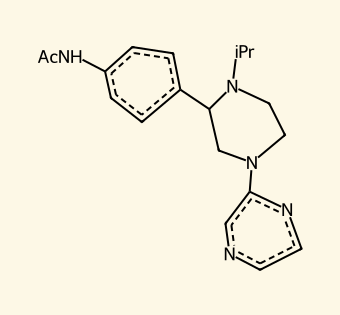 CC(=O)Nc1ccc(C2CN(c3cnccn3)CCN2C(C)C)cc1